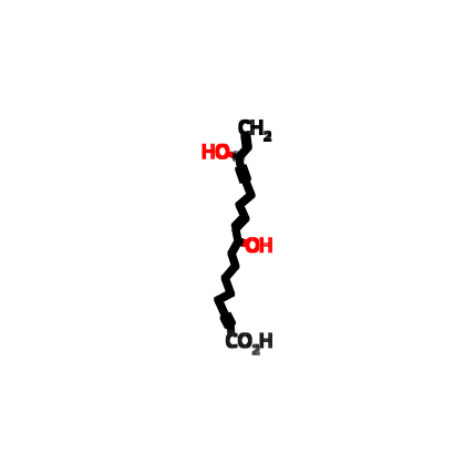 C=C[C@H](O)C#CCCC=CC(O)CCCCCC#CC(=O)O